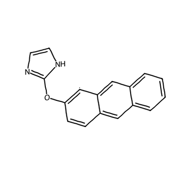 [c]1c(Oc2ncc[nH]2)ccc2cc3ccccc3cc12